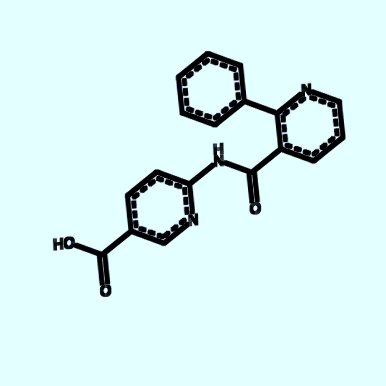 O=C(O)c1ccc(NC(=O)c2cccnc2-c2ccccc2)nc1